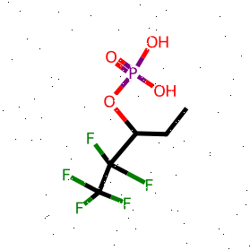 CCC(OP(=O)(O)O)C(F)(F)C(F)(F)F